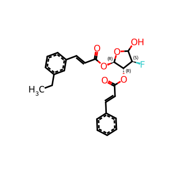 CCc1cccc(C=CC(=O)O[C@H]2OC(O)[C@@H](F)[C@@H]2OC(=O)C=Cc2ccccc2)c1